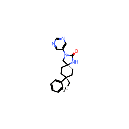 CC[C@]1(c2ccccc2)CC[C@]2(CC1)CN(c1cncnc1)C(=O)N2